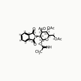 CC(=O)OCC1O[C@@H](OC(=N)C(Cl)(Cl)Cl)[C@@H](N2C(=O)c3ccccc3C2=O)C(OC(C)=O)[C@@H]1OC(C)=O